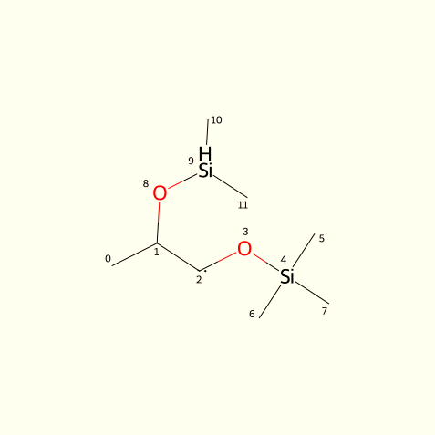 CC([CH]O[Si](C)(C)C)O[SiH](C)C